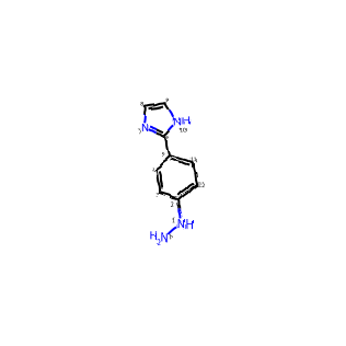 NNc1ccc(-c2ncc[nH]2)cc1